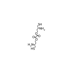 NC(CS)CCOC(=O)C(=O)OCCC(N)CS